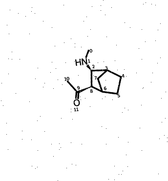 CN[C@H]1C2CCC(C2)[C@H]1C(C)=O